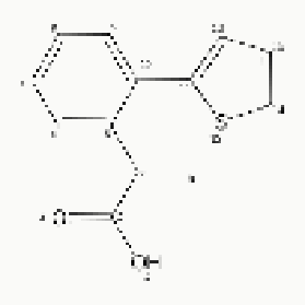 CC(C(=O)O)c1ccccc1-c1cccs1